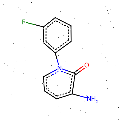 Nc1cccn(-c2cccc(F)c2)c1=O